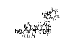 O=C1N(CCc2c[nH]c3ccccc23)c2ccc(Nc3ccnc4c3CCC4O)cc2OC1(F)F